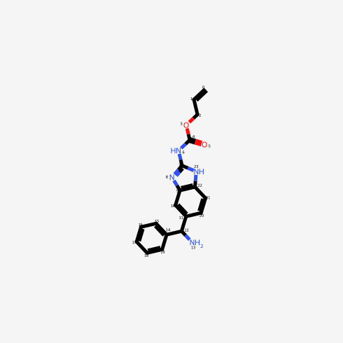 C=CCOC(=O)Nc1nc2cc(C(N)c3ccccc3)ccc2[nH]1